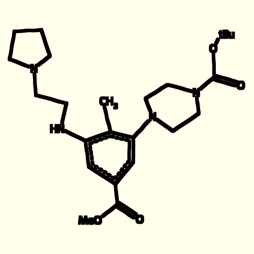 COC(=O)c1cc(NCCN2CCCC2)c(C)c(N2CCN(C(=O)OC(C)(C)C)CC2)c1